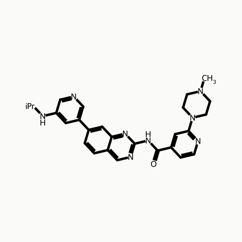 CC(C)Nc1cncc(-c2ccc3cnc(NC(=O)c4ccnc(N5CCN(C)CC5)c4)nc3c2)c1